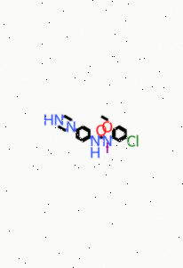 CCOc1ccc(Cl)cc1N(I)C(=O)Nc1ccc(N2CCNCC2)cc1